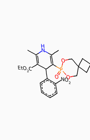 CCOC(=O)C1=C(C)NC(C)=C(P2(=O)OCC3(CCC3)CO2)C1c1ccccc1[N+](=O)[O-]